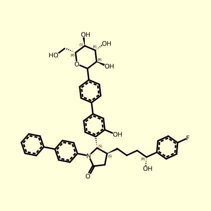 O=C1C[C@H](CCC[C@@H](O)c2ccc(F)cc2)[C@@H](c2ccc(-c3ccc(C4O[C@H](CO)[C@@H](O)[C@H](O)[C@H]4O)cc3)cc2O)N1c1ccc(-c2ccccc2)cc1